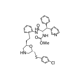 COC(=O)N[C@H](C(=O)Nc1ccccc1CC[C@@H]1CNC[C@@H](CSc2ccc(Cl)cc2)O1)[C@@H](c1ccccc1)c1cccnc1